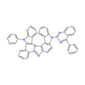 c1ccc(-c2nc(-n3c4ccccc4c4c3ccc3nc5c6ccccc6c6c(c7ccccc7n6-c6ccccc6)n5c34)nc3ccccc23)cc1